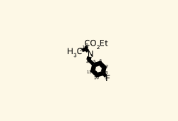 CCOC(=O)C(C)N=Cc1ccc(F)cc1